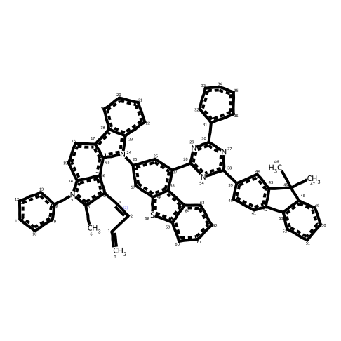 C=C/C=C\c1c(C)n(-c2ccccc2)c2ccc3c4ccccc4n(-c4cc(-c5nc(-c6ccccc6)nc(-c6ccc7c(c6)C(C)(C)c6ccccc6-7)n5)c5c(c4)sc4ccccc45)c3c12